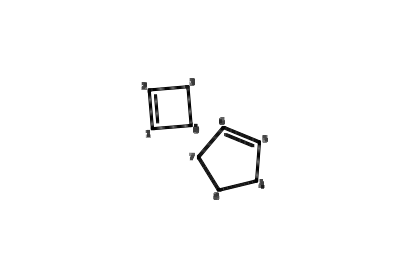 [CH]1C=CC1.[CH]1C=CCC1